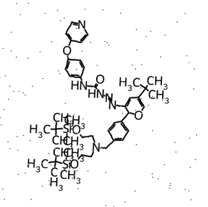 CC(C)(C)C1=COC(c2ccc(CN(CCO[Si](C)(C)C(C)(C)C)CCO[Si](C)(C)C(C)(C)C)cc2)C(N=NNC(=O)Nc2ccc(Oc3ccncc3)cc2)=C1